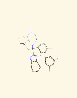 Cc1ccc(C(CC2=COCO2)(c2nc3ccccc3n2Cc2cc(C)cc(C)c2)N2CCNCC2)cc1